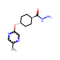 Cc1cnc(O[C@H]2CC[C@H](C(=O)NN)CC2)cn1